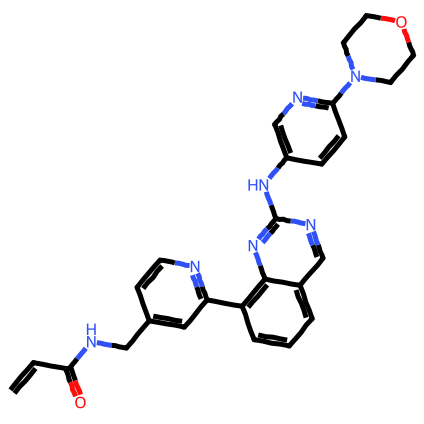 C=CC(=O)NCc1ccnc(-c2cccc3cnc(Nc4ccc(N5CCOCC5)nc4)nc23)c1